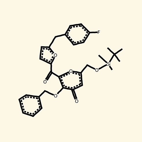 CC(C)(C)[Si](C)(C)OCc1cc(=O)c(OCc2ccccc2)c(C(=O)c2ccc(Cc3ccc(F)cc3)o2)o1